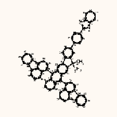 CC1(C)c2cc(-c3ccc(-c4nc5ccccc5o4)cc3)ccc2-c2cc3c(-c4ccc5c6c(cccc46)-c4ccccc4-5)c4ccccc4c(-c4ccc5c6c(cccc46)-c4ccccc4-5)c3cc21